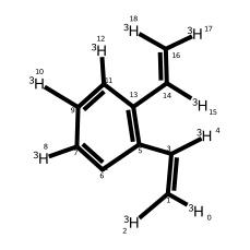 [3H]C([3H])=C([3H])c1[c]c([3H])c([3H])c([3H])c1C([3H])=C([3H])[3H]